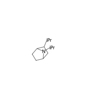 CC(C)C1CC2CCC1N2C(C)C